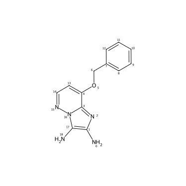 Nc1nc2c(OCc3ccccc3)ccnn2c1N